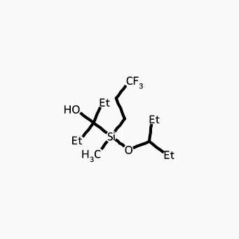 CCC(CC)O[Si](C)(CCC(F)(F)F)C(O)(CC)CC